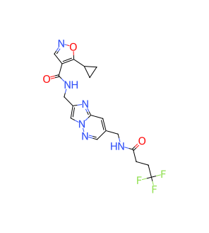 O=C(CCC(F)(F)F)NCc1cnn2cc(CNC(=O)c3cnoc3C3CC3)nc2c1